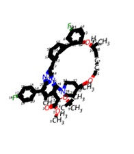 COC(=O)[C@@H](OC(C)(C)C)c1c(C)c(-c2ccc(F)cc2)c2nc3cn2c1N1CCC(C)(CC1)OCCCC[C@H](C)Oc1ccc(F)cc1-c1cccc-3c1